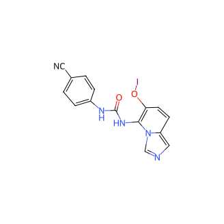 N#Cc1ccc(NC(=O)Nc2c(OI)ccc3cncn23)cc1